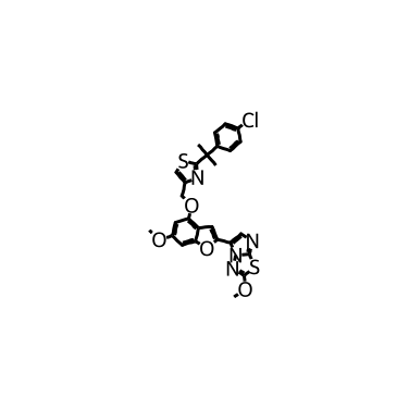 COc1cc(OCc2csc(C(C)(C)c3ccc(Cl)cc3)n2)c2cc(-c3cnc4sc(OC)nn34)oc2c1